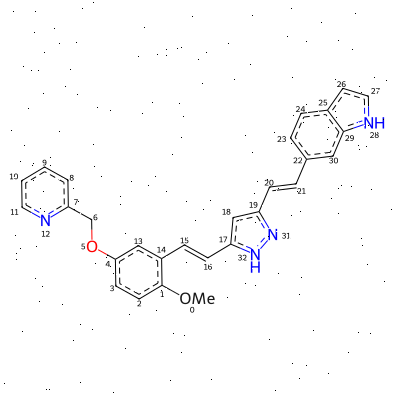 COc1ccc(OCc2ccccn2)cc1C=Cc1cc(C=Cc2ccc3cc[nH]c3c2)n[nH]1